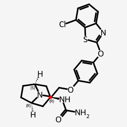 NC(=O)N[C@H]1C[C@H]2CC[C@@H](C1)N2CCOc1ccc(Oc2nc3cccc(Cl)c3s2)cc1